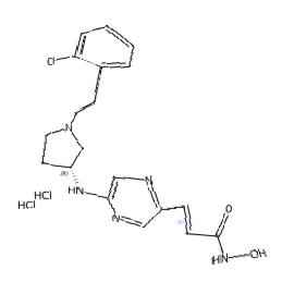 Cl.Cl.O=C(/C=C/c1cnc(N[C@@H]2CCN(CCc3ccccc3Cl)C2)cn1)NO